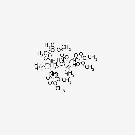 CCOC(=O)C(C(=O)NCC1CC(C)(C)CC(C)(NC(=O)OCC(C)OCC(C)OCC(C)OC(=O)NC2CC(C)(C)CC(C)(CNC(=O)C(C(=O)OCC)C(=O)OCC)C2)C1)C(=O)OCC